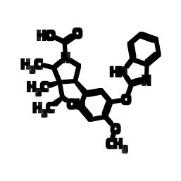 COc1ccc([C@@H]2CN(C(=O)O)C(C)[C@@]2(C)[C@H](C)O)cc1Oc1nc2ccccc2[nH]1